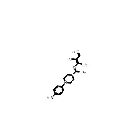 C=C/C(Cl)=C(\C)OC(=C)N1CCN(c2ccc(N)cc2)CC1